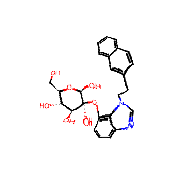 OC[C@H]1O[C@@H](O)[C@@](O)(Oc2cccc3ncn(CCc4ccc5ccccc5c4)c23)[C@@H](O)[C@@H]1O